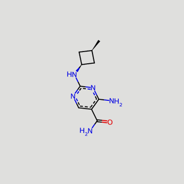 C[C@H]1C[C@@H](Nc2ncc(C(N)=O)c(N)n2)C1